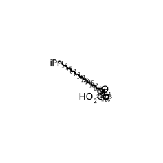 CC(C)CCCCCCCCCCCCCCCCCCCOC(=O)C1CCCCC1C(=O)O